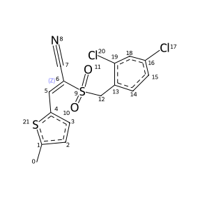 Cc1ccc(/C=C(/C#N)S(=O)(=O)Cc2ccc(Cl)cc2Cl)s1